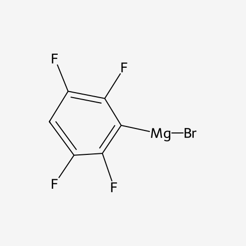 Fc1cc(F)c(F)[c]([Mg][Br])c1F